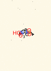 CN(C1CCC12CCN(C(=O)O)CC2)S(=O)(=O)CC1CC1